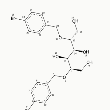 OC[C@@H](OCc1ccc(Br)cc1)[C@@H](O)[C@H](O)[C@@H](CO)OCc1ccc(Br)cc1